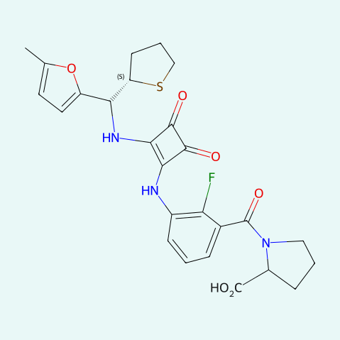 Cc1ccc(C(Nc2c(Nc3cccc(C(=O)N4CCCC4C(=O)O)c3F)c(=O)c2=O)[C@@H]2CCCS2)o1